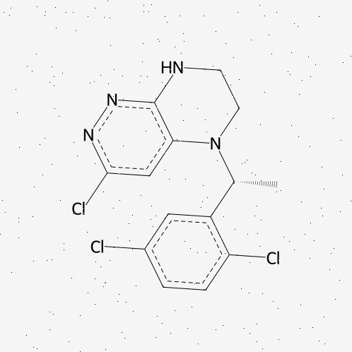 C[C@H](c1cc(Cl)ccc1Cl)N1CCNc2nnc(Cl)cc21